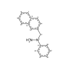 NN(Cc1ccc2ccccc2c1)c1ccccc1